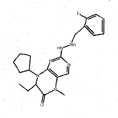 CCC1C(=O)N(C)c2cnc(NNCc3ccccc3F)nc2N1C1CCCC1